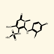 CCCCS(=O)(=O)Nc1c(OC)cc(=O)n(C)c1Nc1ccc(Br)cc1F